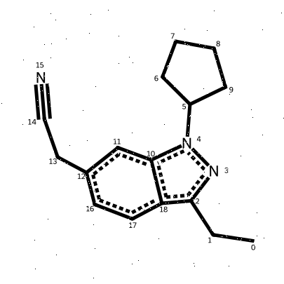 CCc1nn(C2CCCC2)c2cc(CC#N)ccc12